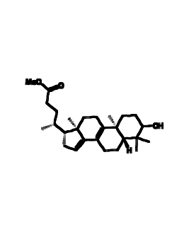 COC(=O)CC[C@@H](C)[C@H]1CC=C2C3=C(CC[C@@]21C)[C@@]1(C)CCC(O)C(C)(C)[C@@H]1CC3